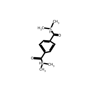 C[SH](C)C(=O)c1ccc(C(=O)[SH](C)C)cc1